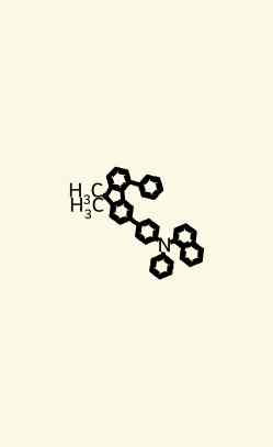 CC1(C)c2ccc(-c3ccc(N(c4ccccc4)c4cccc5ccccc45)cc3)cc2-c2c(-c3ccccc3)cccc21